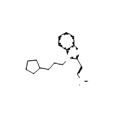 CN(C)/C=C/c1sc2ccccc2[n+]1CCCC1CCCC1